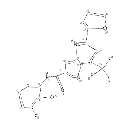 O=C(Nc1cccc(Cl)c1Cl)c1cc2nc(-c3ccco3)cc(C(F)(F)F)n2n1